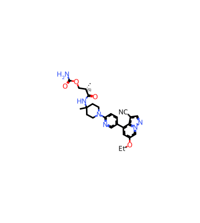 CCOc1cc(-c2ccc(N3CCC(C)(NC(=O)[C@@H](C)COC(N)=O)CC3)nc2)c2c(C#N)cnn2c1